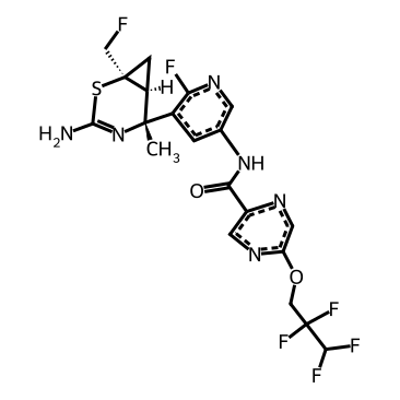 C[C@@]1(c2cc(NC(=O)c3cnc(OCC(F)(F)C(F)F)cn3)cnc2F)N=C(N)S[C@@]2(CF)C[C@H]21